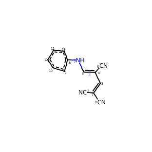 N#CC(C#N)=C/C(C#N)=C/Nc1ccccc1